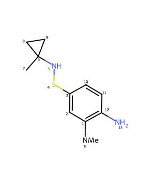 CNc1cc(SNC2(C)CC2)ccc1N